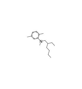 CCCCC(CC)CN(C)c1cc(C)ccc1C